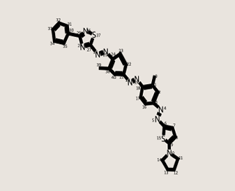 Cc1cc(/N=N/c2ccc(N3CCCC3)s2)ccc1/N=N/c1ccc(/N=N/c2nc(-c3ccccc3)ns2)c(C)c1